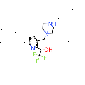 OC(c1ncccc1CN1CCNCC1)C(F)(F)F